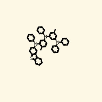 Cc1cc(N(c2ccccc2)c2ccccc2)cc(N(c2ccccc2)c2ccc(C)c(N(c3ccccc3)c3ccc4sc5ccccc5c4c3)c2)c1